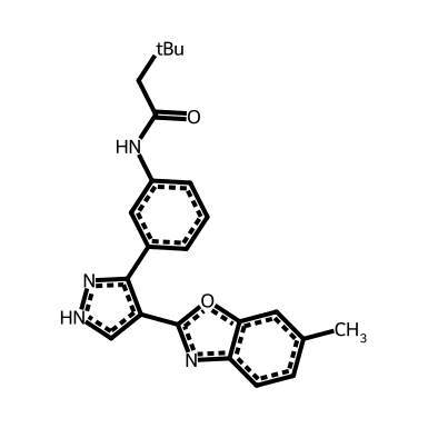 Cc1ccc2nc(-c3c[nH]nc3-c3cccc(NC(=O)CC(C)(C)C)c3)oc2c1